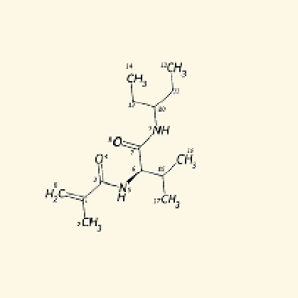 C=C(C)C(=O)N[C@@H](C(=O)NC(CC)CC)C(C)C